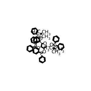 CC(C)(C)[Si](OC[C@H]1O[C@H](CO[Si](c2ccccc2)(c2ccccc2)C(C)(C)C)[C@@H](OP(c2ccccc2)c2ccccc2)[C@@H]1OP(c1ccccc1)c1ccccc1)(c1ccccc1)c1ccccc1